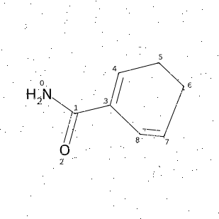 NC(=O)C1=CC[CH]C=C1